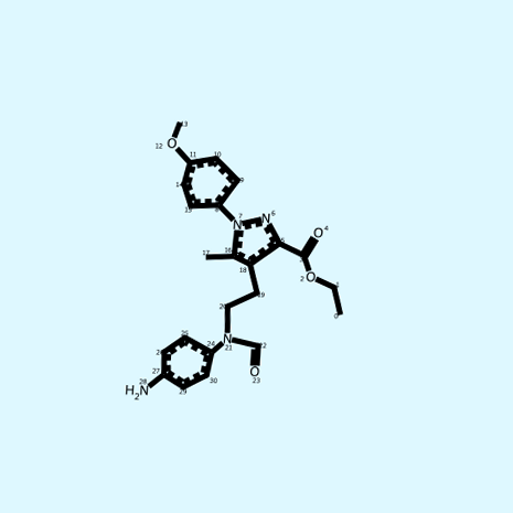 CCOC(=O)c1nn(-c2ccc(OC)cc2)c(C)c1CCN(C=O)c1ccc(N)cc1